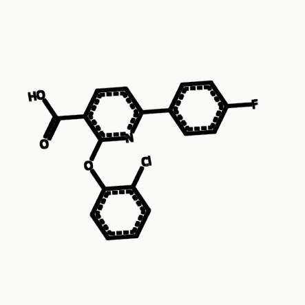 O=C(O)c1ccc(-c2ccc(F)cc2)nc1Oc1ccccc1Cl